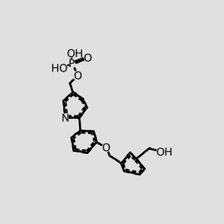 O=P(O)(O)OCc1ccc(-c2cccc(OCc3cccc(CO)c3)c2)nc1